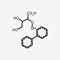 O=C(O)C(OO)C(O)CO.c1ccc(-c2ccccc2)cc1